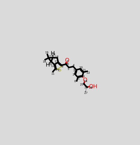 Cc1cc(CCC(=O)c2sc(C)c3c2C[C@@H]2[C@H]3C2(C)C)cc(C)c1OC[C@@H](C)O